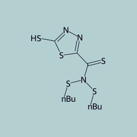 CCCCSN(SCCCC)C(=S)c1nnc(S)s1